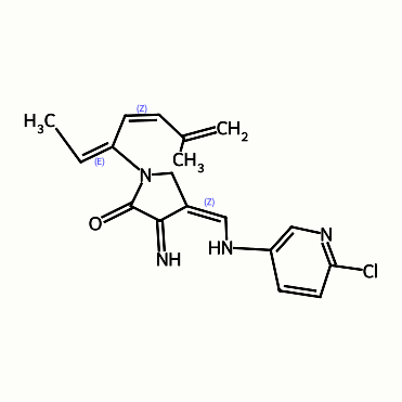 C=C(C)/C=C\C(=C/C)N1C/C(=C/Nc2ccc(Cl)nc2)C(=N)C1=O